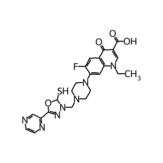 CCn1cc(C(=O)O)c(=O)c2cc(F)c(N3CCN(CN4N=C(c5cnccn5)OC4S)CC3)cc21